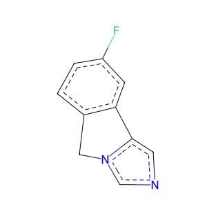 Fc1ccc2c(c1)-c1cncn1C2